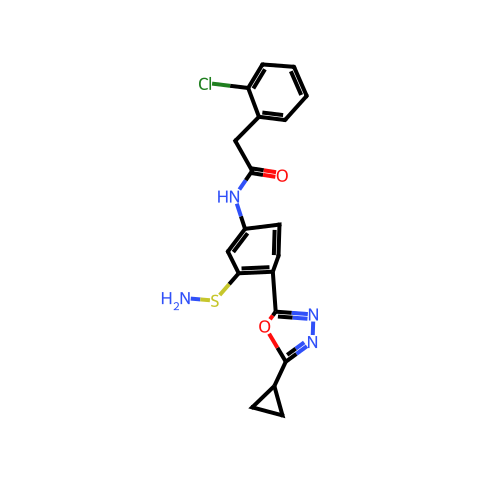 NSc1cc(NC(=O)Cc2ccccc2Cl)ccc1-c1nnc(C2CC2)o1